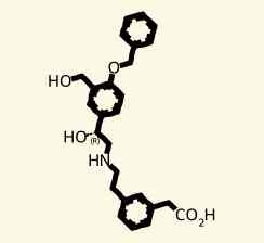 O=C(O)Cc1cccc(CCNC[C@H](O)c2ccc(OCc3ccccc3)c(CO)c2)c1